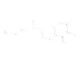 CCC(Cn1ccc(=O)n(C)c1=O)OP(C)OCCC#N